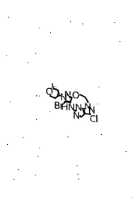 C[C@H]1C[C@@H](n2nc3c(c2Br)Nc2ncc4c(Cl)nn(c4n2)CCCO3)CCO1